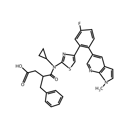 Cn1ccc2cc(-c3ccc(F)cc3-c3csc(N(C(=O)C(CC(=O)O)Cc4ccccc4)C4CC4)n3)cnc21